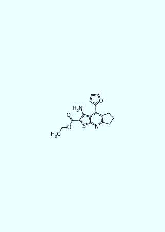 CCOC(=O)c1sc2nc3c(c(-c4ccco4)c2c1N)CCC3